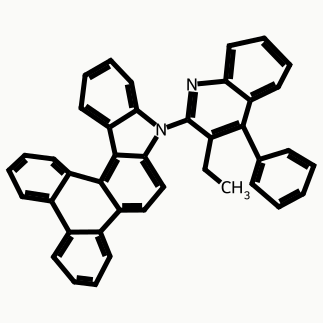 CCc1c(-n2c3ccccc3c3c4c5ccccc5c5ccccc5c4ccc32)nc2ccccc2c1-c1ccccc1